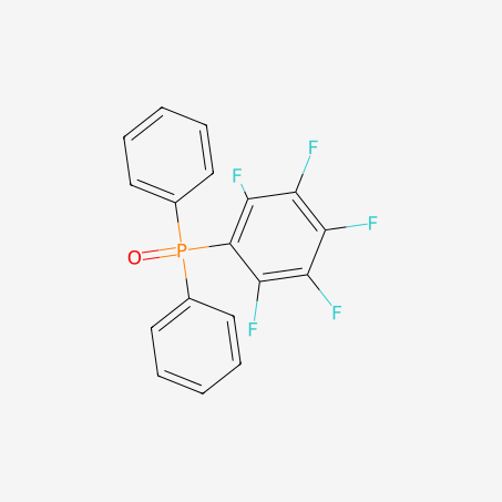 O=P(c1ccccc1)(c1ccccc1)c1c(F)c(F)c(F)c(F)c1F